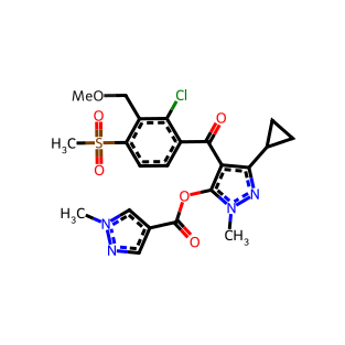 COCc1c(S(C)(=O)=O)ccc(C(=O)c2c(C3CC3)nn(C)c2OC(=O)c2cnn(C)c2)c1Cl